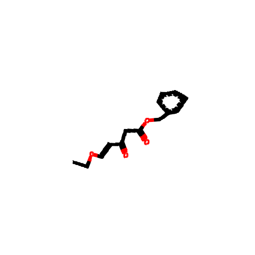 CCOC=CC(=O)CC(=O)OCc1ccccc1